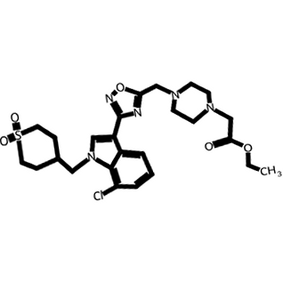 CCOC(=O)CN1CCN(Cc2nc(-c3cn(CC4CCS(=O)(=O)CC4)c4c(Cl)cccc34)no2)CC1